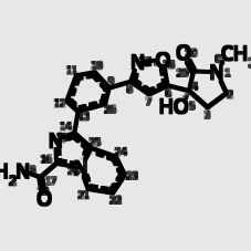 CN1CC[C@@](O)(c2cc(-c3cccc(-c4nc(C(N)=O)n5ccccc45)c3)no2)C1=O